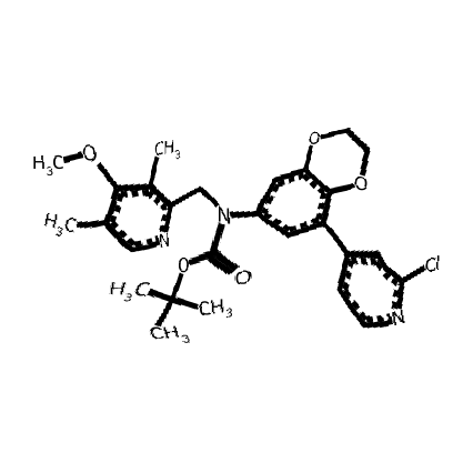 COc1c(C)cnc(CN(C(=O)OC(C)(C)C)c2cc3c(c(-c4ccnc(Cl)c4)c2)OCCO3)c1C